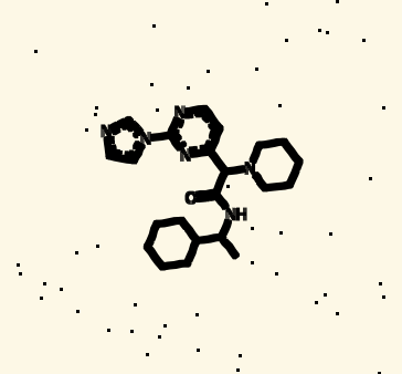 CC(NC(=O)C(c1ccnc(-n2ccnc2)n1)N1CCCCC1)C1CCCCC1